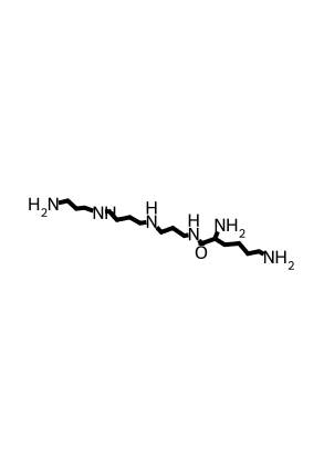 NCCCCC(N)C(=O)NCCCNCCCCNCCCN